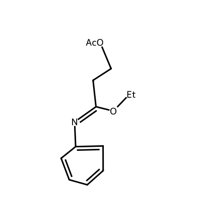 CCOC(CCOC(C)=O)=Nc1ccccc1